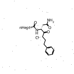 CCCCCCCC(=O)N[C@H](CC(N)=O)C(=O)[C@@H](Cl)CCc1ccccc1